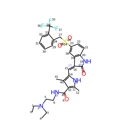 CCN(CC)CCNC(=O)c1c(C)[nH]c(/C=C2\C(=O)Nc3ccc(S(=O)(=O)Cc4ccccc4C(F)(F)F)cc32)c1C